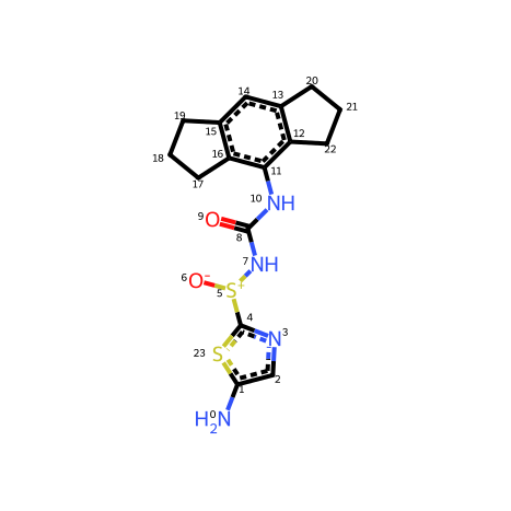 Nc1cnc([S+]([O-])NC(=O)Nc2c3c(cc4c2CCC4)CCC3)s1